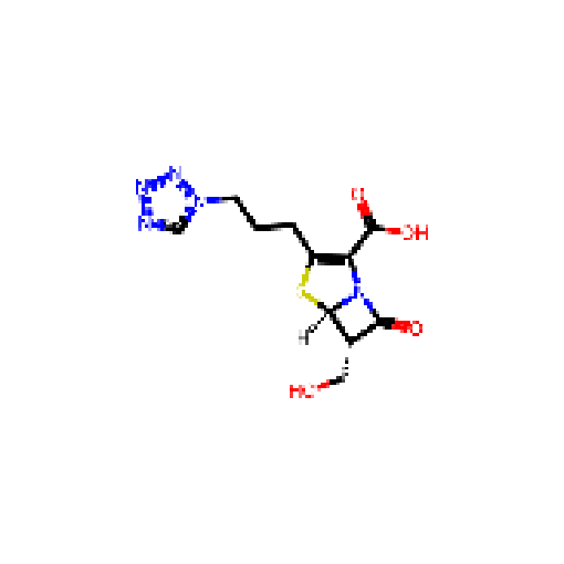 O=C(O)C1=C(CCCn2cnnn2)S[C@@H]2[C@@H](CO)C(=O)N12